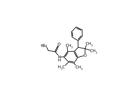 Cc1c(C)c2c(c(C)c1NC(=O)CC(C)(C)C)C(c1ccccc1)C(C)(C)O2